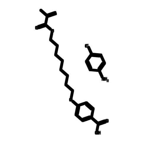 C=C(C)C(=O)OCCCCCCCCOc1ccc(C(=O)O)cc1.Nc1ccc(Cl)cc1